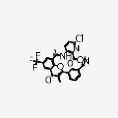 Cc1c(-c2cccc(C#N)c2)oc2c([C@@H](C)Nc3ccc(Cl)nc3C(=O)O)cc(C(F)(F)F)cc2c1=O